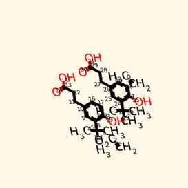 C=C.C=C.CC(C)(C)c1cc(CCC(=O)O)ccc1O.CC(C)(C)c1cc(CCC(=O)O)ccc1O